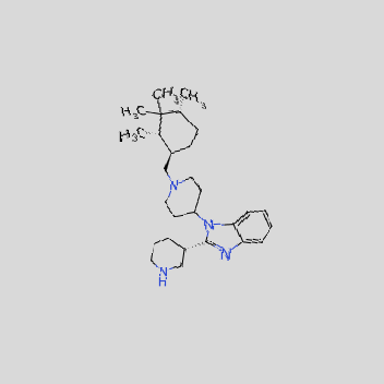 C[C@@H]1CC[C@@H](CN2CCC(n3c([C@H]4CCCNC4)nc4ccccc43)CC2)[C@H](C)C1(C)C